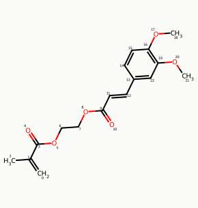 C=C(C)C(=O)OCCOC(=O)C=Cc1ccc(OC)c(OC)c1